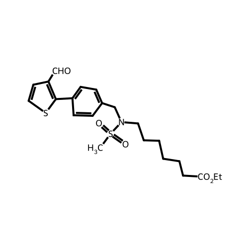 CCOC(=O)CCCCCCN(Cc1ccc(-c2sccc2C=O)cc1)S(C)(=O)=O